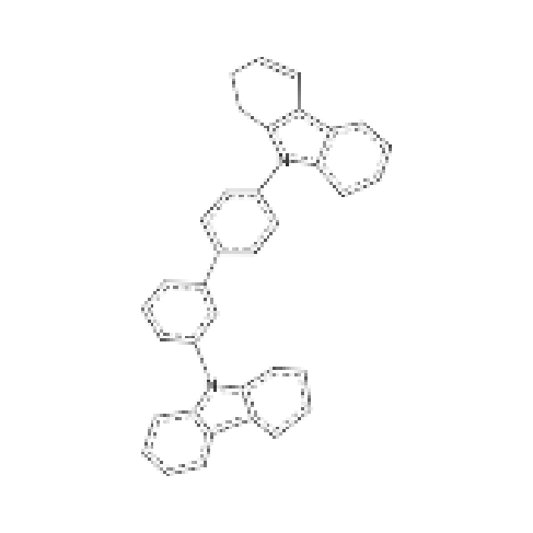 C1=Cc2c(n(-c3ccc(-c4cccc(-n5c6ccccc6c6ccccc65)c4)cc3)c3ccccc23)CC1